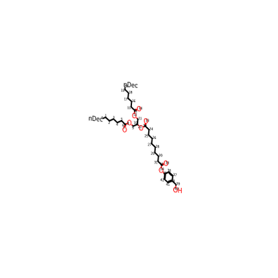 CCCCCCCCCCCCCCCC(=O)OCC(COC(=O)CCCCCCCCCCCCCCC)OC(=O)CCCCCCCCC(=O)Oc1ccc(CO)cc1